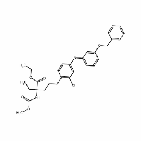 CCOC(=O)C(CC)(CCCc1ccc(Sc2cccc(OCc3ccccc3)c2)cc1Cl)NC(=O)OC